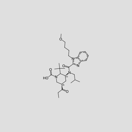 CCC(=O)[C@@H]1C[C@H](N(CC(C)C)C(=O)c2nc3ccccc3n2CCCCOC)C(C(C)(C)C)N(C(=O)O)C1